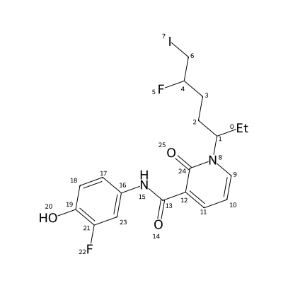 CCC(CCC(F)CI)n1cccc(C(=O)Nc2ccc(O)c(F)c2)c1=O